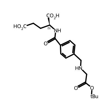 CC(C)(C)OC(=O)CNCc1ccc(C(=O)N[C@@H](CCC(=O)O)C(=O)O)cc1